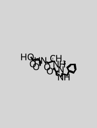 C[C@H](NC(=O)c1c[nH]c(Cc2ccccc2)n1)C(=O)NC(C=O)CC(=O)O